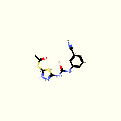 CC(=O)Sc1nnc(NC(=O)Nc2cccc(C#N)c2)s1